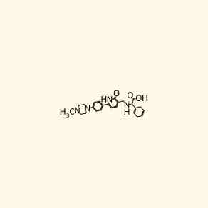 CN1CCN(c2ccc(-c3ccc(CNC(C(=O)O)C4=CCC=CC4)c(=O)[nH]3)cc2)CC1